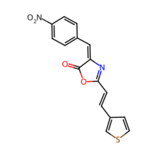 O=C1OC(C=Cc2ccsc2)=NC1=Cc1ccc([N+](=O)[O-])cc1